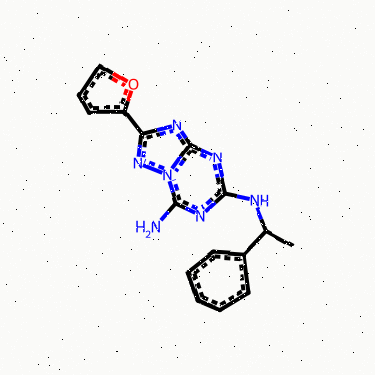 CC(Nc1nc(N)n2nc(-c3ccco3)nc2n1)c1ccccc1